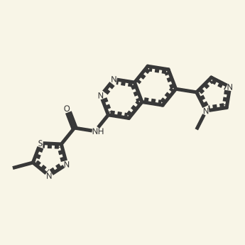 Cc1nnc(C(=O)Nc2cc3cc(-c4cncn4C)ccc3nn2)s1